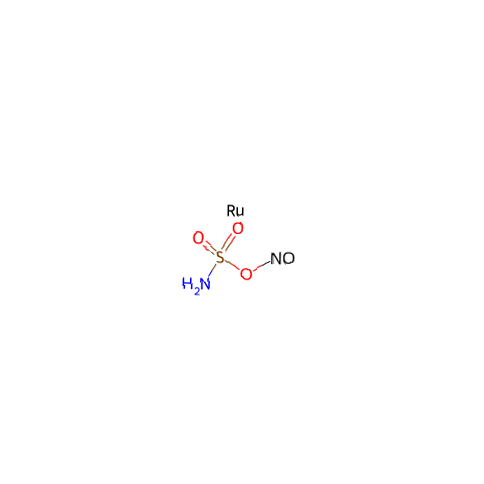 NS(=O)(=O)ON=O.[Ru]